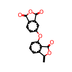 C=C1OC(=O)c2c(Oc3ccc4c(c3)C(=O)OC4=O)cccc21